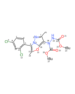 Cc1nn2c(-c3ccc(Cl)cc3Cl)c(C)oc2c1N(NC(=O)OC(C)(C)C)C(=O)OC(C)(C)C